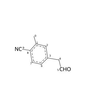 Cc1cc(CC=O)ccc1C#N